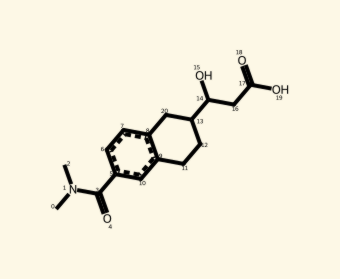 CN(C)C(=O)c1ccc2c(c1)CCC(C(O)CC(=O)O)C2